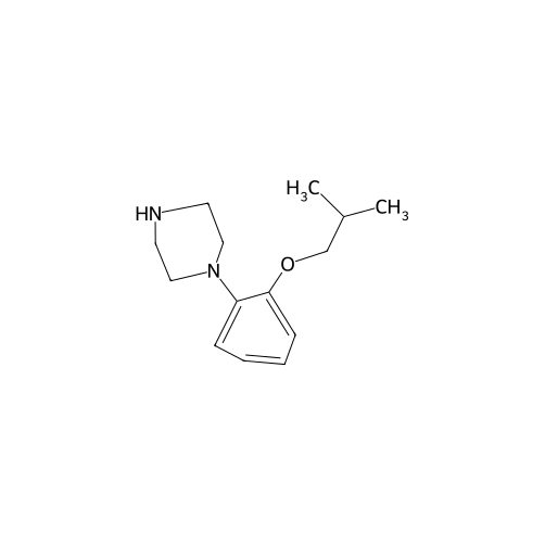 CC(C)COc1ccccc1N1CCNCC1